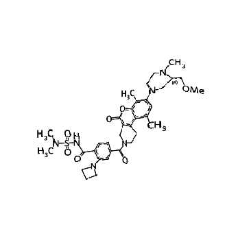 COC[C@H]1CN(c2cc(C)c3c4c(c(=O)oc3c2C)CN(C(=O)c2ccc(C(=O)NS(=O)(=O)N(C)C)c(N3CCC3)c2)CC4)CCN1C